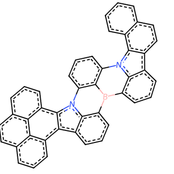 c1cc2c3c(c1)-n1c4c(cccc4c4c5cccc6ccc7cccc(c7c65)c41)B3c1cccc3c4ccc5ccccc5c4n-2c13